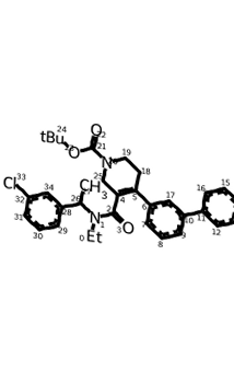 CCN(C(=O)C1=C(c2cccc(-c3ccccc3)c2)CCN(C(=O)OC(C)(C)C)C1)C(C)c1cccc(Cl)c1